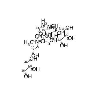 CC(O)CO.C[N+](C)(C)CCO.NCC(=O)O.NCC(=O)O.OCC(O)CO.OCC(O)CO